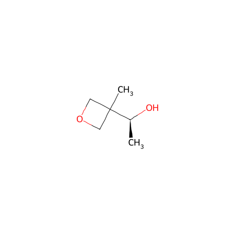 C[C@H](O)C1(C)COC1